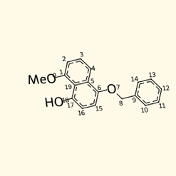 COc1cccc2c(OCc3ccccc3)ccc(O)c12